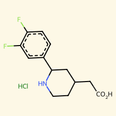 Cl.O=C(O)CC1CCNC(c2ccc(F)c(F)c2)C1